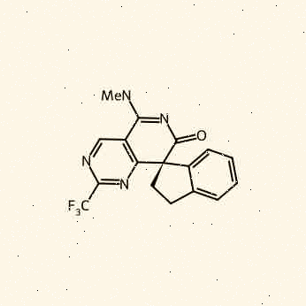 CNC1=NC(=O)[C@@]2(CCc3ccccc32)c2nc(C(F)(F)F)ncc21